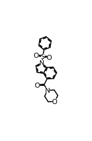 O=C(c1cccc2c1ccn2S(=O)(=O)c1ccccc1)N1CCOCC1